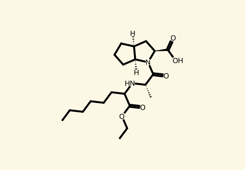 CCCCCCC(N[C@@H](C)C(=O)N1[C@H](C(=O)O)C[C@@H]2CCC[C@@H]21)C(=O)OCC